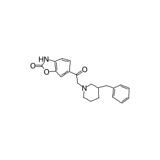 O=C(CN1CCCC(Cc2ccccc2)C1)c1ccc2[nH]c(=O)oc2c1